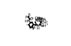 CN1C[C@@](C)(c2cc(NC(=O)C(F)F)ccc2F)NC(=N)C(C)(C)S1(O)O